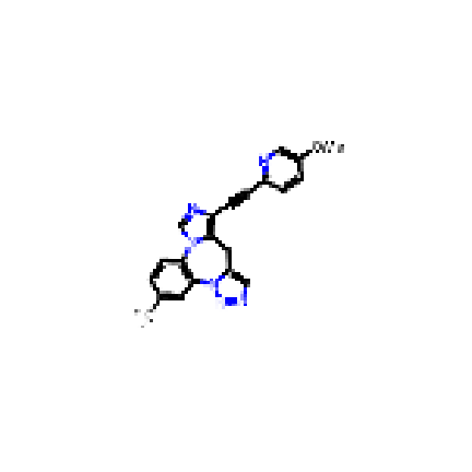 COc1ccc(C#Cc2ncn3c2Cc2cnnn2-c2cc(C(F)(F)F)ccc2-3)nc1